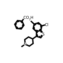 Cc1cc(Cl)c2scc(C3CCN(C)CC3)c2c1.O=C(O)c1ccccc1